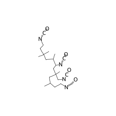 CC(CCN=C=O)CC(C)(CN=C=O)CC(N=C=O)C(C)CC(C)(C)CCN=C=O